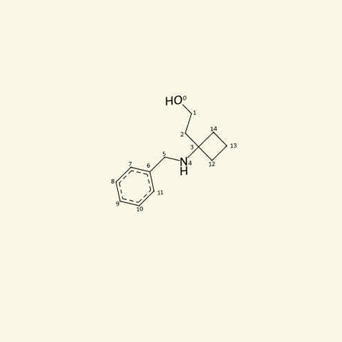 OCCC1(NCc2ccccc2)CCC1